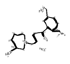 Cl.Nc1ccc(N)c(C(=O)C=CN2CCCC(O)C2)c1